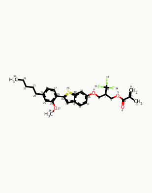 C=C(C)C(=O)OCC(COc1ccc2cc(-c3ccc(CCCCC)cc3OC)sc2c1)C(F)(F)F